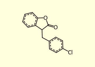 O=C1Oc2ccccc2C1Cc1ccc(Cl)cc1